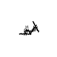 CCCCCC(C)C(=NOCNC(C)(C)c1cccc(C(C)(C)NC(=O)ON=C(C(C)CCCCC)C(C)CCCCC)c1)C(C)CCCCC